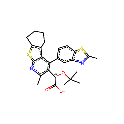 Cc1nc2cc(-c3c([C@H](OC(C)(C)C)C(=O)O)c(C)nc4sc5c(c34)CCCC5)ccc2s1